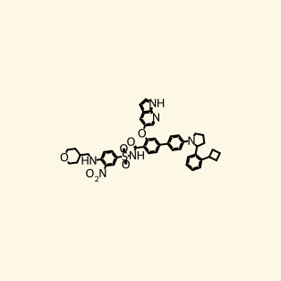 O=C(NS(=O)(=O)c1ccc(NCC2CCOCC2)c([N+](=O)[O-])c1)c1ccc(-c2ccc(N3CCCC3c3ccccc3C3CCC3)cc2)cc1Oc1cnc2[nH]ccc2c1